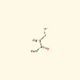 CCCCCC(=O)OC.[MgH2]